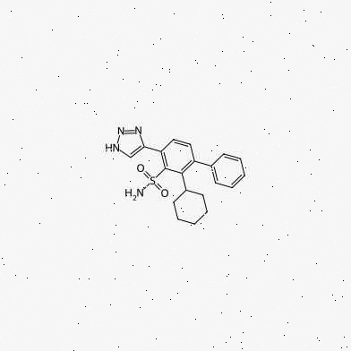 NS(=O)(=O)c1c(-c2c[nH]nn2)ccc(-c2ccccc2)c1C1CCCCC1